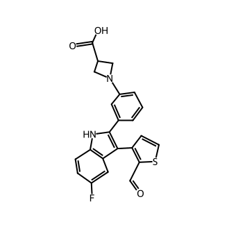 O=Cc1sccc1-c1c(-c2cccc(N3CC(C(=O)O)C3)c2)[nH]c2ccc(F)cc12